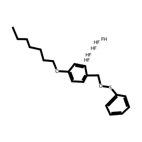 CCCCCCCOc1ccc(COSc2ccccc2)cc1.F.F.F.F.F